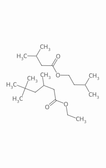 CC(C)CCOC(=O)CC(C)C.CCOC(=O)CC(C)CC(C)(C)C